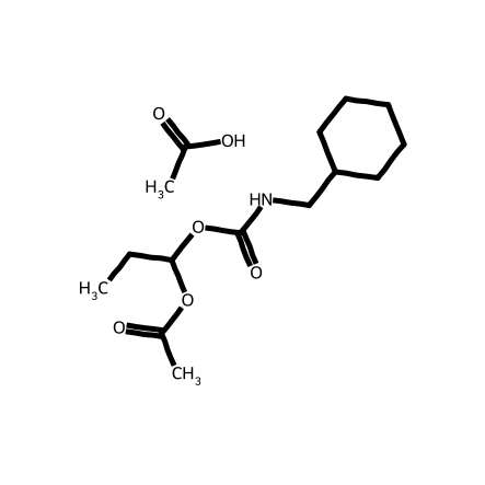 CC(=O)O.CCC(OC(C)=O)OC(=O)NCC1CCCCC1